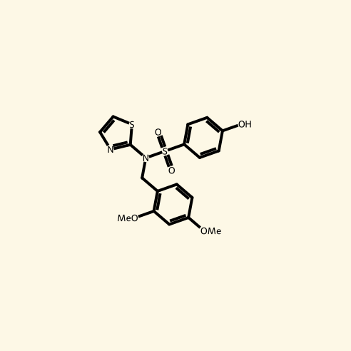 COc1ccc(CN(c2nccs2)S(=O)(=O)c2ccc(O)cc2)c(OC)c1